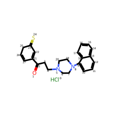 Cl.O=C(CCN1CCN(c2cccc3ccccc23)CC1)C1=CC(=S)CC=C1